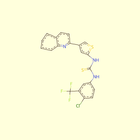 FC(F)(F)c1cc(NC(=S)Nc2cc(-c3ccc4ccccc4n3)cs2)ccc1Cl